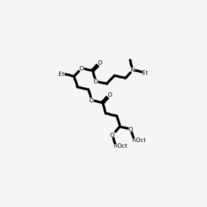 [CH2]CC(CCOC(=O)CCC(OCCCCCCCC)OCCCCCCCC)OC(=O)OCCCN(C)CC